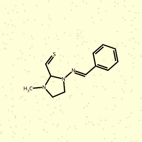 CN1CCN(N=Cc2ccccc2)C1C=S